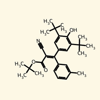 Cc1cccc(C(=C(C#N)C(=O)OC(C)(C)C)c2cc(C(C)(C)C)c(O)c(C(C)(C)C)c2)c1